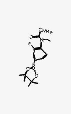 COC(=O)N(C)c1ccc(B2OC(C)(C)C(C)(C)O2)cc1F